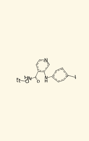 CCONC(=O)c1ccncc1Nc1ccc(I)cc1